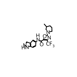 CC1CCCN(c2nc(C(F)(F)F)c(C(=O)Nc3ccc4[nH]ncc4c3)o2)C1